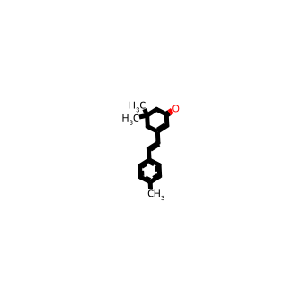 Cc1ccc(C=CC2=CC(=O)CC(C)(C)C2)cc1